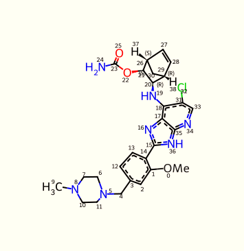 COc1cc(CN2CCN(C)CC2)ccc1-c1nc2c(N[C@H]3[C@@H](OC(N)=O)[C@@H]4C=C[C@H]3C4)c(Cl)cnc2[nH]1